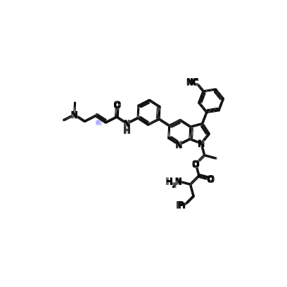 CC(C)CC(N)C(=O)OC(C)n1cc(-c2cccc(C#N)c2)c2cc(-c3cccc(NC(=O)/C=C/CN(C)C)c3)cnc21